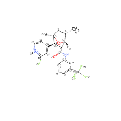 C[C@H]1C[C@H]2O[C@H]1[C@@H](C(=O)Nc1cccc(C(F)(F)F)c1)[C@H]2c1ccnc(F)c1